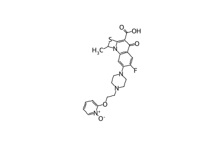 CC1Sc2c(C(=O)O)c(=O)c3cc(F)c(N4CCN(CCOc5cccc[n+]5[O-])CC4)cc3n21